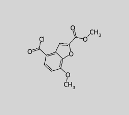 COC(=O)c1cc2c(C(=O)Cl)ccc(OC)c2o1